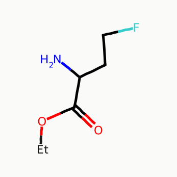 CCOC(=O)C(N)CCF